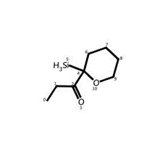 CCC(=O)C1([SiH3])CCCCO1